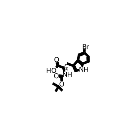 CC(C)(C)OC(=O)N[C@@H](Cc1c[nH]c2ccc(Br)cc12)C(=O)O